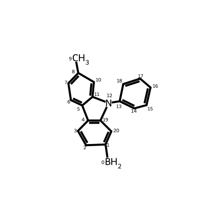 Bc1ccc2c3ccc(C)cc3n(-c3ccccc3)c2c1